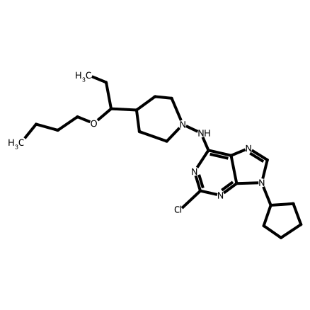 CCCCOC(CC)C1CCN(Nc2nc(Cl)nc3c2ncn3C2CCCC2)CC1